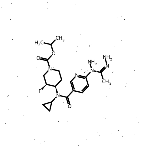 C/C(=N/N)N(N)c1ccc(C(=O)N(C2CC2)[C@@H]2CCN(C(=O)OC(C)C)C[C@@H]2F)cn1